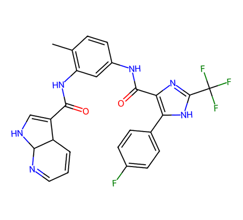 Cc1ccc(NC(=O)c2nc(C(F)(F)F)[nH]c2-c2ccc(F)cc2)cc1NC(=O)C1=CNC2N=CC=CC12